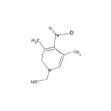 CC1=CN(CO)CC(C)=C1[N+](=O)[O-]